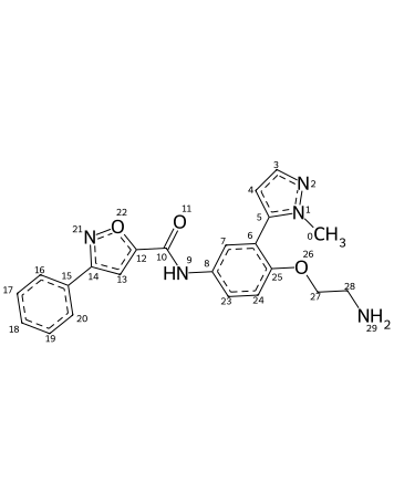 Cn1nccc1-c1cc(NC(=O)c2cc(-c3ccccc3)no2)ccc1OCCN